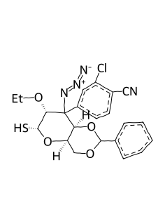 CCO[C@H]1[C@@H](S)O[C@@H]2COC(c3ccccc3)O[C@@H]2C1(N=[N+]=[N-])c1ccc(C#N)c(Cl)c1